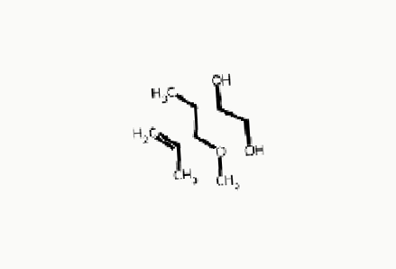 C=CC.CCCOC.OCCO